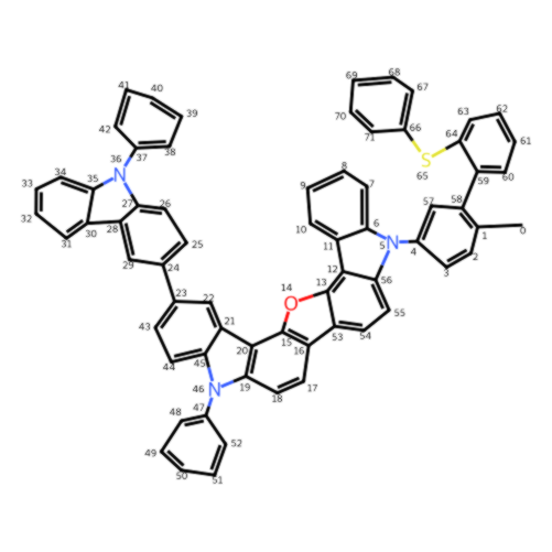 Cc1ccc(-n2c3ccccc3c3c4oc5c(ccc6c5c5cc(-c7ccc8c(c7)c7ccccc7n8-c7ccccc7)ccc5n6-c5ccccc5)c4ccc32)cc1-c1ccccc1Sc1ccccc1